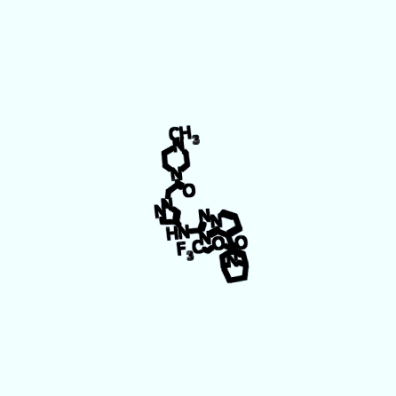 CN1CCN(C(=O)Cn2cc(Nc3nc4c(C5=CC6CCC(C5)N6C(=O)OCC(F)(F)F)cccn4n3)cn2)CC1